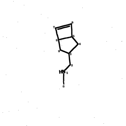 INCC1CC2C=CC2C1